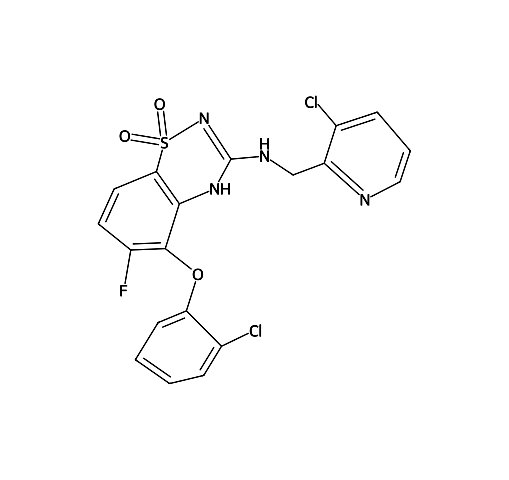 O=S1(=O)N=C(NCc2ncccc2Cl)Nc2c1ccc(F)c2Oc1ccccc1Cl